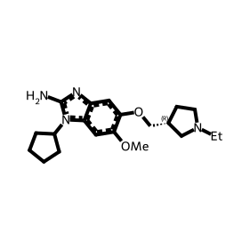 CCN1CC[C@@H](COc2cc3nc(N)n(C4CCCC4)c3cc2OC)C1